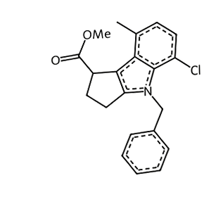 COC(=O)C1CCc2c1c1c(C)ccc(Cl)c1n2Cc1ccccc1